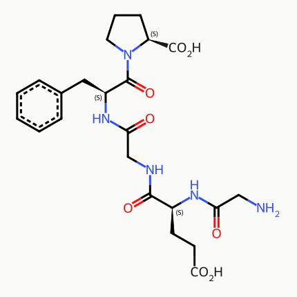 NCC(=O)N[C@@H](CCC(=O)O)C(=O)NCC(=O)N[C@@H](Cc1ccccc1)C(=O)N1CCC[C@H]1C(=O)O